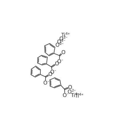 O=C([O-])c1ccccc1.O=C([O-])c1ccccc1.O=C([O-])c1ccccc1.O=C([O-])c1ccccc1.[O-2].[O-2].[O-2].[O-2].[Ti+4].[Ti+4].[Ti+4]